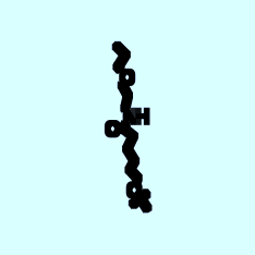 CCCOCCCNC(=O)CCCCCOC(C)(C)C